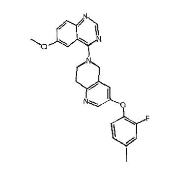 COc1ccc2ncnc(N3CCc4ncc(Oc5ccc(C)cc5F)cc4C3)c2c1